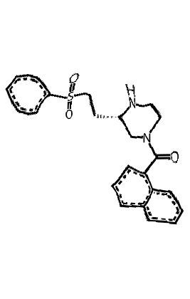 O=C(c1cccc2ccccc12)N1CCN[C@@H](CCS(=O)(=O)c2ccccc2)C1